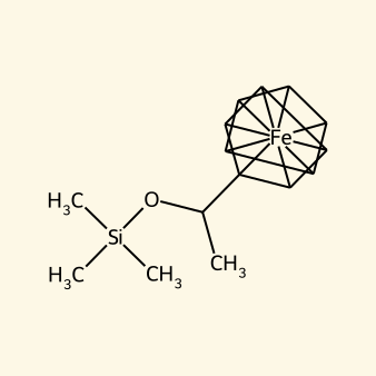 CC(O[Si](C)(C)C)[C]12[CH]3[CH]4[CH]5[CH]1[Fe]45321678[CH]2[CH]1[CH]6[CH]7[CH]28